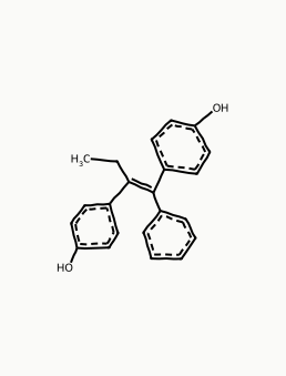 CCC(=C(c1ccccc1)c1ccc(O)cc1)c1ccc(O)cc1